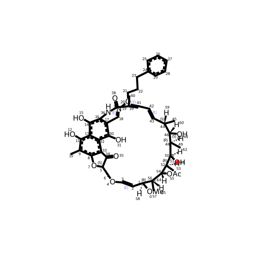 CO[C@H]1/C=C/O[C@@]2(C)Oc3c(C)c(O)c4c(O)c(c(/C=N/OCCCc5ccccc5)c(O)c4c3C2=O)NC(=O)/C(C)=C\C=C\[C@H](C)[C@H](O)[C@@H](C)[C@@H](O)[C@@H](C)[C@H](OC(C)=O)[C@@H]1C